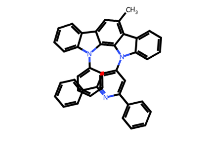 Cc1cc2c3ccccc3n(-c3ccccc3)c2c2c1c1ccccc1n2-c1cc(-c2ccccc2)nc(-c2ccccc2)c1